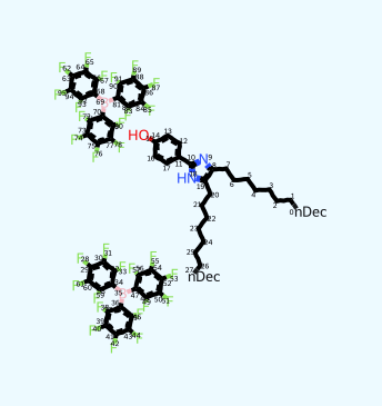 CCCCCCCCCCCCCCCCCc1nc(-c2ccc(O)cc2)[nH]c1CCCCCCCCCCCCCCCCC.Fc1c(F)c(F)c(B(c2c(F)c(F)c(F)c(F)c2F)c2c(F)c(F)c(F)c(F)c2F)c(F)c1F.Fc1c(F)c(F)c(B(c2c(F)c(F)c(F)c(F)c2F)c2c(F)c(F)c(F)c(F)c2F)c(F)c1F